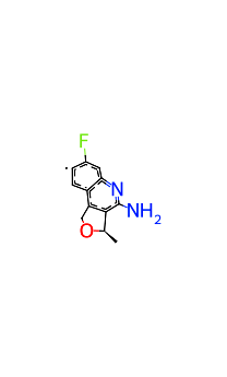 C[C@H]1OCc2c1c(N)nc1cc(F)[c]cc21